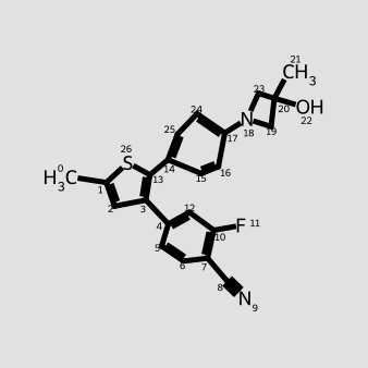 Cc1cc(-c2ccc(C#N)c(F)c2)c(-c2ccc(N3CC(C)(O)C3)cc2)s1